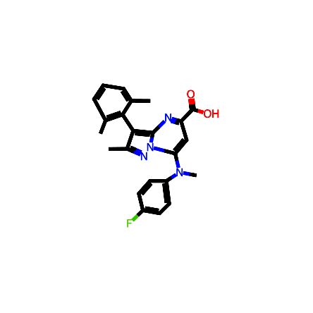 Cc1cccc(C)c1-c1c(C)nn2c(N(C)c3ccc(F)cc3)cc(C(=O)O)nc12